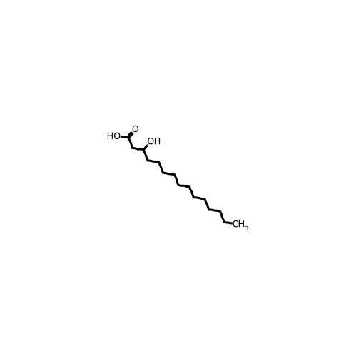 CCCCCCCCCCCCC(O)CC(=O)O